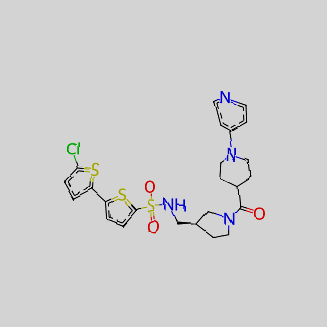 O=C(C1CCN(c2ccncc2)CC1)N1CC[C@@H](CNS(=O)(=O)c2ccc(-c3ccc(Cl)s3)s2)C1